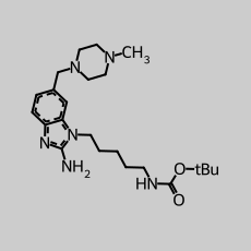 CN1CCN(Cc2ccc3nc(N)n(CCCCCNC(=O)OC(C)(C)C)c3c2)CC1